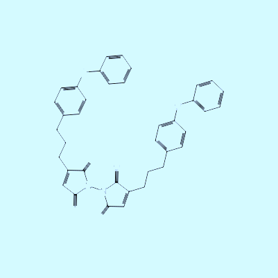 O=C1C=C(CCCc2ccc(Oc3ccccc3)cc2)C(=O)N1N1C(=O)C=C(CCCc2ccc(Oc3ccccc3)cc2)C1=O